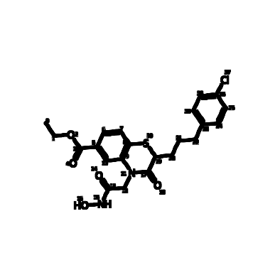 CCOC(=O)c1ccc2c(c1)N(CC(=O)NO)C(=O)C(CCCc1ccc(Cl)cc1)S2